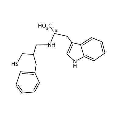 O=C(O)[C@H](Cc1c[nH]c2ccccc12)NCC(CS)Cc1ccccc1